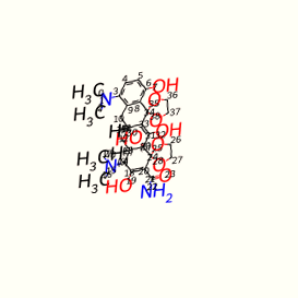 CN(C)c1ccc(O)c2c1C[C@H]1C[C@H]3[C@H](N(C)C)C(O)=C(C(N)=O)C4(OCCO4)[C@@]3(O)C(O)=C1C21OCCO1